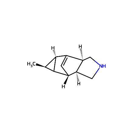 C[C@@H]1C2[C@@H]3C=C([C@H]4CNC[C@H]43)[C@@H]21